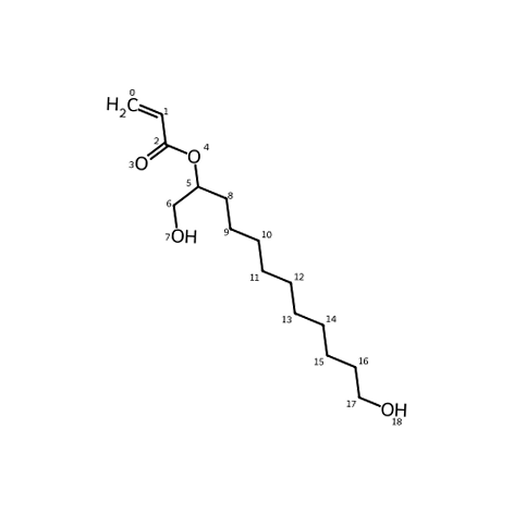 C=CC(=O)OC(CO)CCCCCCCCCCO